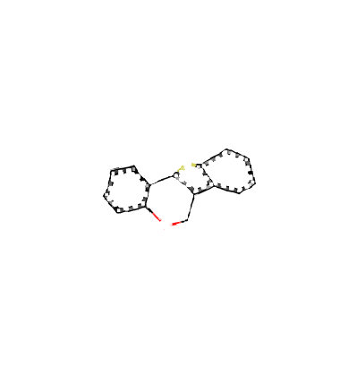 c1ccc2c(c1)OCc1c-2sc2ccccc12